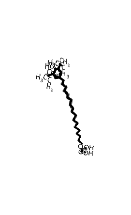 CC(C)(C)c1cc(CCCCCCCCCCCCCCCCCCCOP(=O)(O)O)cc(C(C)(C)C)c1O